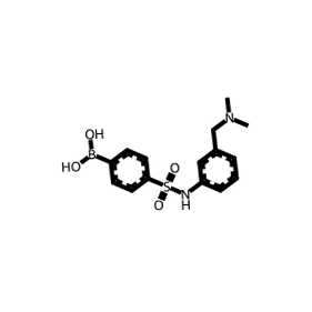 CN(C)Cc1cccc(NS(=O)(=O)c2ccc(B(O)O)cc2)c1